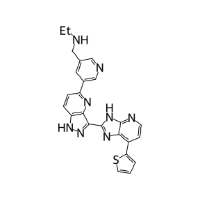 CCNCc1cncc(-c2ccc3[nH]nc(-c4nc5c(-c6cccs6)ccnc5[nH]4)c3n2)c1